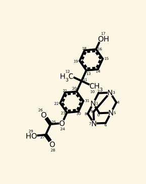 C1N2CN3CN1CN(C2)C3.CC(C)(c1ccc(O)cc1)c1ccc(OC(=O)C(=O)O)cc1